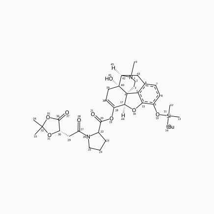 CN1CC[C@]23c4c5ccc(O[Si](C)(C)C(C)(C)C)c4O[C@H]2C(OC(=O)C2CCCN2C(=O)C[C@@H]2OC(C)(C)OC2=O)=CC[C@@]3(O)[C@H]1C5